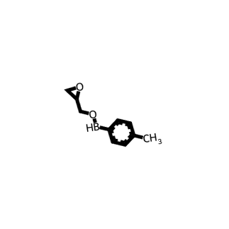 Cc1ccc(BOCC2CO2)cc1